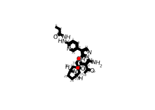 CCC(=O)NNc1ccc(-c2cnn3c(N)c(C(C)=O)c([C@H]4C[C@H]5CC[C@@H](C4)N5C(=O)CO)nc23)cn1